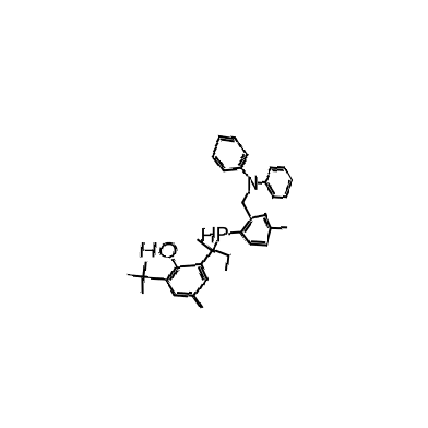 CCC(C)(Pc1ccc(C)cc1CN(c1ccccc1)c1ccccc1)c1cc(C)cc(C(C)(C)C)c1O